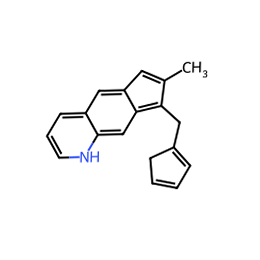 Cc1cc2cc3ccc[nH]c3cc2c1CC1=CC=CC1